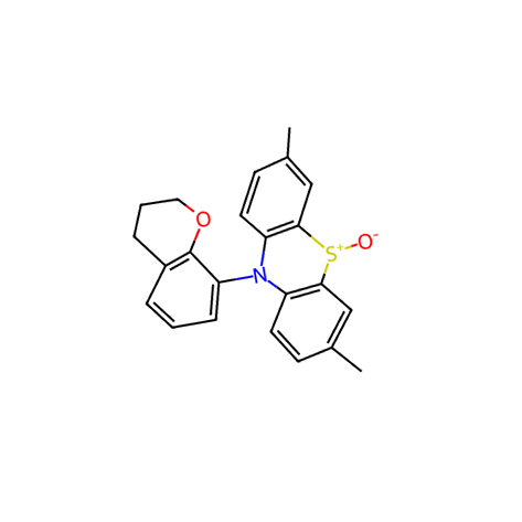 Cc1ccc2c(c1)[S+]([O-])c1cc(C)ccc1N2c1cccc2c1OCCC2